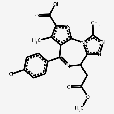 COC(=O)CC1N=C(c2ccc(Cl)cc2)c2c(sc(C(=O)O)c2C)-n2c(C)nnc21